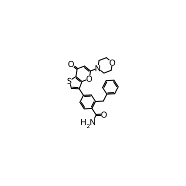 NC(=O)c1ccc(-c2csc3c(=O)cc(N4CCOCC4)oc23)cc1Cc1ccccc1